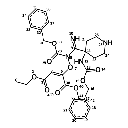 CCOC(=O)C=C(ON(C(=N)C1(NC(=O)OCc2ccccc2)CCNCC1)C(=O)OCc1ccccc1)C(=O)OCC